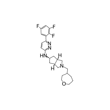 Fc1cc(F)c(F)c(-c2ccc(N[C@H]3C[C@@H]4CN(CC5CCCOCC5)C[C@@H]4C3)nn2)c1